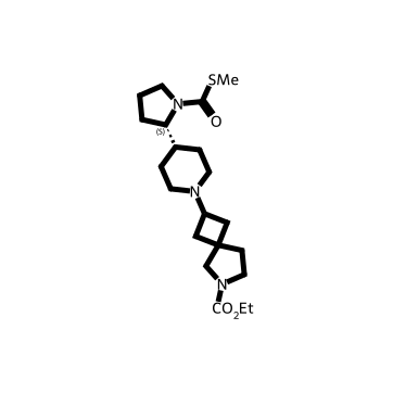 CCOC(=O)N1CCC2(CC(N3CCC([C@@H]4CCCN4C(=O)SC)CC3)C2)C1